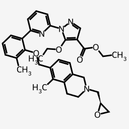 CCOC(=O)c1cnn(-c2cccc(-c3cccc(C)c3OCc3ccc4c(c3C)CCN(C[C@H]3CO3)C4)n2)c1OCC